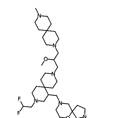 COC(CN1CCC2(CCN(C)CC2)CC1)CN1CCC2(CC1)CCN(CC(F)F)CC2CN1CCOC2(CCN(C)C2)C1